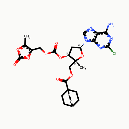 Cc1oc(=O)oc1COC(=O)O[C@H]1C[C@H](n2cnc3c(N)nc(Cl)nc32)O[C@]1(C)COC(=O)C12CCC(CC1)CC2